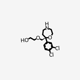 OCCOC[C@@]1(c2ccc(Cl)c(Cl)c2)CCNCCO1